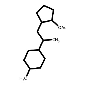 CC(=O)OC1CCCC1CC(C)C1CCC(C)CC1